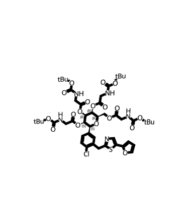 CC(C)(C)OC(=O)NCC(=O)OC[C@H]1O[C@@H](c2ccc(Cl)c(Cc3ncc(-c4ccco4)s3)c2)[C@H](OC(=O)CNC(=O)OC(C)(C)C)[C@@H](OC(=O)CNC(=O)OC(C)(C)C)[C@@H]1OC(=O)CNC(=O)OC(C)(C)C